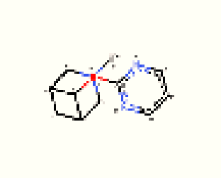 CC(C)N1CC2CC(C1)C2Oc1ncccn1